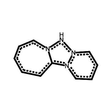 c1ccc2n3ccccn3[nH]n-2cc1